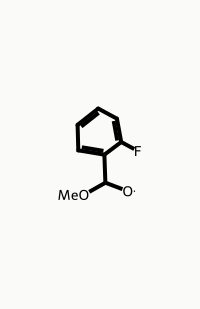 COC([O])c1ccccc1F